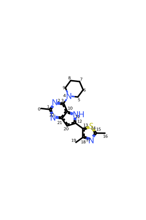 Cc1nc(N2CCCCC2)c2[nH]c(-c3sc(C)nc3C)cc2n1